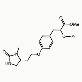 COC(=O)C(Cc1ccc(OCCC2CNC(=O)N2C)cc1)OC(C)C